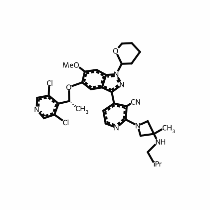 COc1cc2c(cc1O[C@H](C)c1c(Cl)cncc1Cl)c(-c1ccnc(N3CC(C)(NCC(C)C)C3)c1C#N)nn2C1CCCCO1